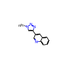 CCCn1cc(-c2cnc3ccccc3c2)nn1